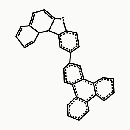 C1=CC2=CC=C3Sc4ccc(-c5ccc6c7ccccc7c7ccccc7c6c5)cc4C3C2C=C1